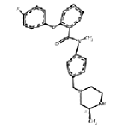 C[C@H]1CN(Cc2ccc(N(C)C(=O)c3ccccc3Oc3ccc(F)cc3)cc2)CCN1